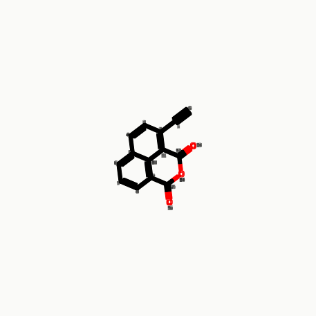 C#Cc1ccc2cccc3c2c1C(=O)OC3=O